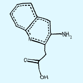 Nc1cc2ccccc2nc1CC(=O)O